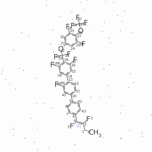 CC/C(F)=C(\F)c1ccc(-c2ccc(-c3cc(F)c(C(F)(F)Oc4cc(F)c(OC(F)(F)F)c(F)c4)c(F)c3)c(F)c2)cc1